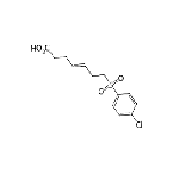 O=C(O)CCC=CCCS(=O)(=O)c1ccc(Cl)cc1